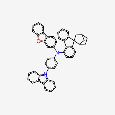 c1ccc2c(c1)-c1c(N(c3ccc(-n4c5ccccc5c5ccccc54)cc3)c3ccc4c(c3)oc3ccccc34)cccc1C21CC2CCC1C2